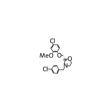 COc1cc(Cl)ccc1OC[C@H]1CN(Cc2ccc(Cl)cc2)CCO1